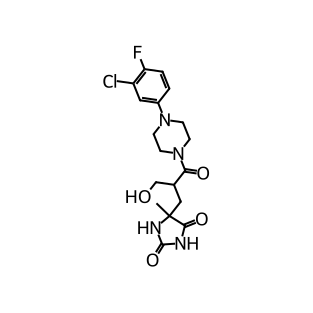 CC1(CC(CO)C(=O)N2CCN(c3ccc(F)c(Cl)c3)CC2)NC(=O)NC1=O